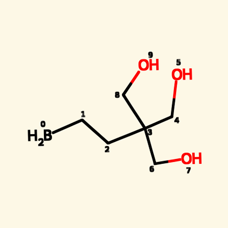 BCCC(CO)(CO)CO